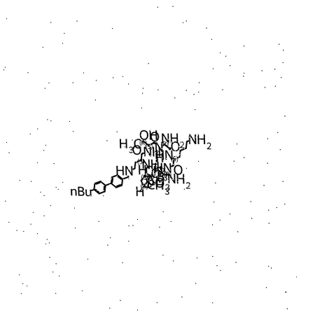 CCCCc1ccc(-c2ccc(CNCC[C@H](N)C(=O)N[C@H](C(=O)N[C@@H](N)C(=O)N[C@@H](CCCCN)C(=O)N[C@@H](N)B3OC4C[C@@H]5C[C@@H](C5(C)C)[C@]4(C)O3)[C@@H](C)O)cc2)cc1